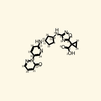 O=C(O)C1(c2nc(N[C@H]3CC[C@H](Nc4ccc(-n5ncccc5=O)cn4)C3)no2)CC1